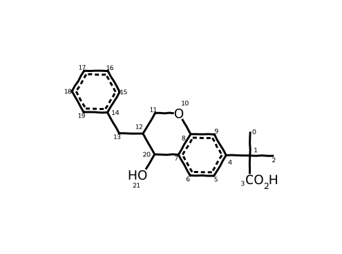 CC(C)(C(=O)O)c1ccc2c(c1)OCC(Cc1ccccc1)C2O